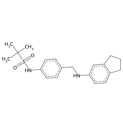 CC(C)(C)S(=O)(=O)Nc1ccc(CNc2ccc3c(c2)CCC3)cc1